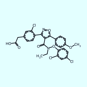 CCN(Oc1ccc(Cl)cc1Cl)C(=O)c1c(-c2ccc(CC(=O)O)cc2Cl)noc1-c1ccc(OC)cc1